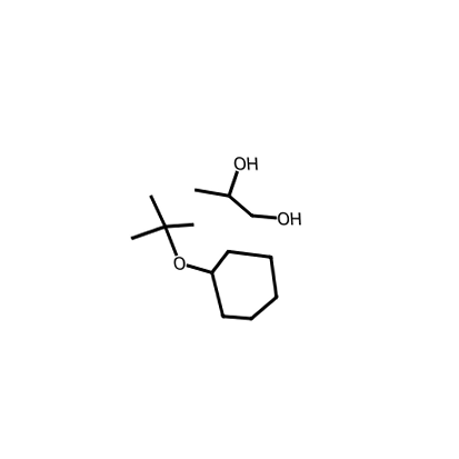 CC(C)(C)OC1CCCCC1.CC(O)CO